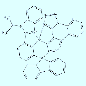 CC(C)n1c2[n+](c3ccccc31)[N+]13c4c-2cccc4C2(c4ccccc4-c4ccccc42)c2ccc4c5cccnc5n5c6ccccc6[n+]1c5c4c23